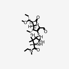 [2H]C1([2H])N[C@](C)(C(=O)N(C)CC)C(C)(C)[C@]1([2H])SC1=C(C=O)N2C(=O)[C@H]([C@@H](CC)OC)[C@H]2[C@H]1CC